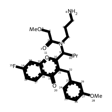 COCC(=O)N(CCCN)C(c1oc2cc(F)ccc2c(=O)c1Cc1cccc(OC)c1)C(C)C